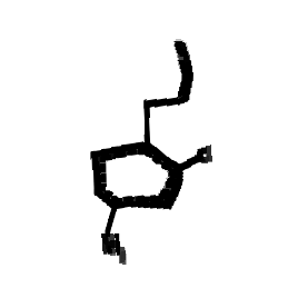 Nc1ccc(CC=S)c(Cl)c1